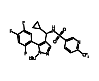 CC(C)(C)n1ncc([C@H](NS(=O)(=O)c2ccc(C(F)(F)F)nc2)C2CC2)c1-c1cc(F)c(F)cc1F